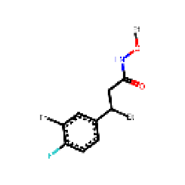 CCONC(=O)CC(CC)c1ccc(F)c(CC)c1